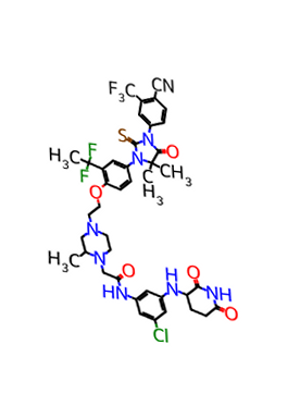 CC1CN(CCOc2ccc(N3C(=S)N(c4ccc(C#N)c(C(F)(F)F)c4)C(=O)C3(C)C)cc2C(C)(F)F)CCN1CC(=O)Nc1cc(Cl)cc(NC2CCC(=O)NC2=O)c1